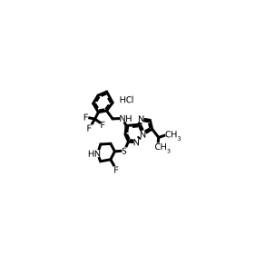 CC(C)c1cnc2c(NCc3ccccc3C(F)(F)F)cc(SC3CCNCC3F)nn12.Cl